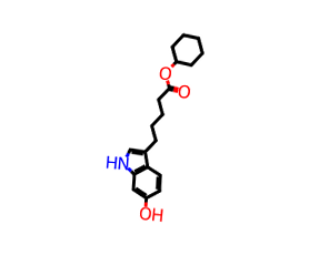 O=C(CCCCc1c[nH]c2cc(O)ccc12)OC1CCCCC1